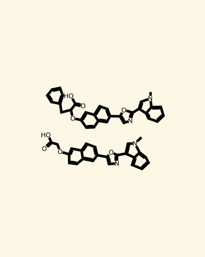 Cn1cc(-c2ncc(-c3ccc4cc(OC(Cc5ccccc5)C(=O)O)ccc4c3)o2)c2ccccc21.Cn1cc(-c2ncc(-c3ccc4cc(OCC(=O)O)ccc4c3)o2)c2ccccc21